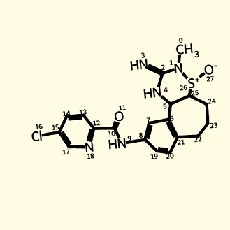 CN1C(=N)NC2c3cc(NC(=O)c4ccc(Cl)cn4)ccc3CCCC2[S+]1[O-]